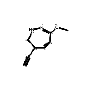 C#CC1C=CC(OC)=NNC1